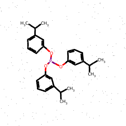 CC(C)c1cccc(OP(Oc2cccc(C(C)C)c2)Oc2cccc(C(C)C)c2)c1